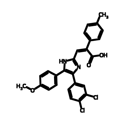 COc1ccc(-c2[nH]c(/C=C(\C(=O)O)c3ccc(C)cc3)nc2-c2ccc(Cl)c(Cl)c2)cc1